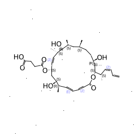 C=C/C=C\[C@H](C)[C@@H]1OC(=O)/C=C\C=C\[C@@H](C)[C@@H](O)C[C@H](OC(=O)CCC(=O)O)/C=C\[C@H](C)[C@H](O)[C@@H](C)C[C@@H](C)CC[C@@H](O)[C@@H]1C